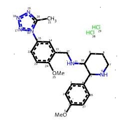 COc1ccc(C2NCCCC2NCc2cc(-n3nnnc3C)ccc2OC)cc1.Cl.Cl